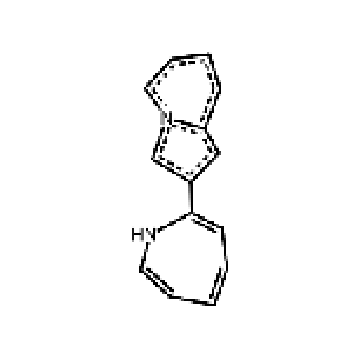 C1=CC=C(c2cc3ccccn3c2)NC=C1